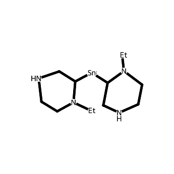 CCN1CCNC[CH]1[Sn][CH]1CNCCN1CC